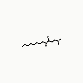 CCCCCCCCNC(=O)CC[N+](C)C